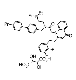 CCN(CC)CCN(Cc1ccc(-c2ccc(C(C)C)cc2)cc1)C(=O)Cn1c(CCc2cccc(F)c2F)cc(=O)c2ccccc21.O=C(O)C(O)C(O)C(=O)O